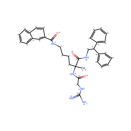 CC(CCCCNC(=O)c1ccc2ccccc2c1)(NC(=O)CNC(=N)N)C(=O)NCC(c1ccccc1)c1ccccc1